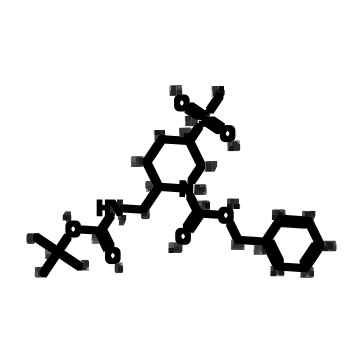 CC(C)(C)OC(=O)NCC1CCC(S(C)(=O)=O)CN1C(=O)OCc1ccccc1